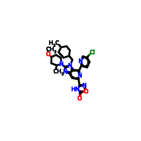 COC1CCN(c2nc3cc(-c4noc(=O)[nH]4)nc(-c4ccc(Cl)cn4)c3n2CC2CCC(C)CC2)C(C)C1